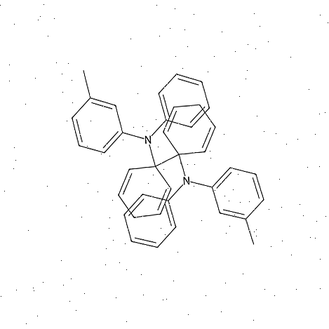 Cc1cccc(N(c2ccccc2)C2(C3(N(c4ccccc4)c4cccc(C)c4)C=CCC=C3)C=CCC=C2)c1